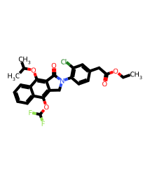 CCOC(=O)Cc1ccc(N2Cc3c(c(OC(C)C)c4ccccc4c3OC(F)F)C2=O)c(Cl)c1